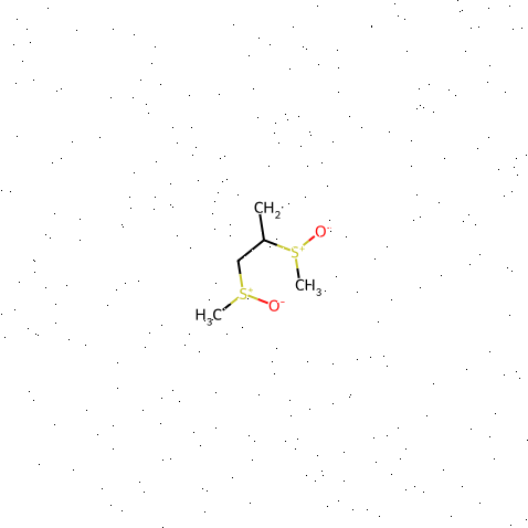 [CH2]C(C[S+](C)[O-])[S+](C)[O-]